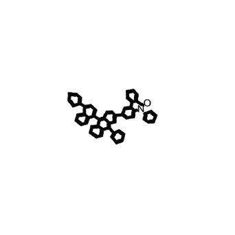 O=c1c2ccccc2c2cc(-c3ccc4c(-c5ccc(-c6ccccc6)c6ccccc56)c5ccccc5c(-c5ccccc5)c4c3)ccc2n1-c1ccccc1